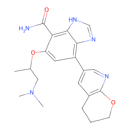 CC(CN(C)C)Oc1cc(-c2cnc3c(c2)CCCO3)c2nc[nH]c2c1C(N)=O